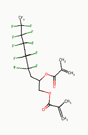 C=C(C)C(=O)OCC(CC(F)(F)C(F)(F)C(F)(F)C(F)(F)C(F)(F)C(F)(F)F)OC(=O)C(=C)C